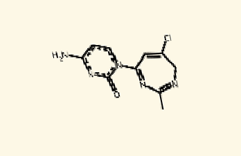 CC1=NCC(Cl)=CC(n2ccc(N)nc2=O)=N1